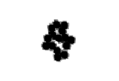 N#Cc1ccc(-c2cc(-c3cccc(-c4cccc(-n5c6ccccc6c6cc(-c7ccc8c(c7)c7ccccc7n8-c7ccccc7)ccc65)c4)c3)nc(-c3cccc(-n4c5ccccc5c5cc(-c6ccc7c(c6)c6ccccc6n7-c6ccccc6)ccc54)c3)n2)cc1